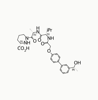 CC(C)[C@H](NC(=O)COc1ccc(-c2cccc([C@@H](C)O)c2)cc1)C(=O)N[C@@H](C)C(=O)N1CCC[C@@H](C(=O)O)N1